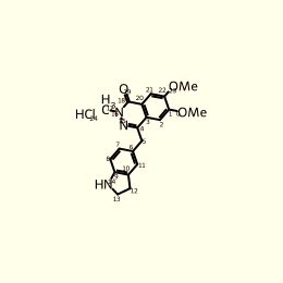 COc1cc2c(Cc3ccc4c(c3)CCN4)nn(C)c(=O)c2cc1OC.Cl